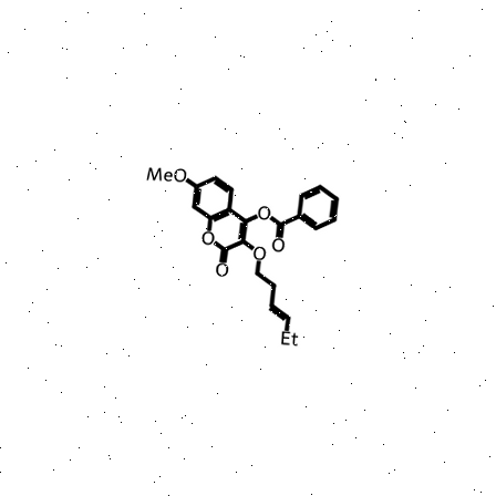 CC/C=C/CCOc1c(OC(=O)c2ccccc2)c2ccc(OC)cc2oc1=O